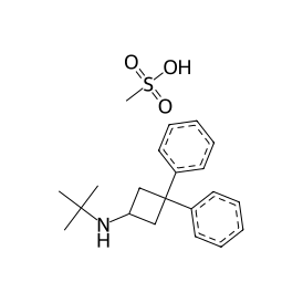 CC(C)(C)NC1CC(c2ccccc2)(c2ccccc2)C1.CS(=O)(=O)O